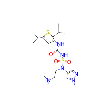 CC(C)c1cc(NC(=O)NS(=O)(=O)N(CCN(C)C)c2cnn(C)c2)c(C(C)C)s1